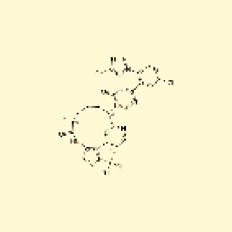 [2H]C([2H])([2H])n1ncc2c1-c1ccnc(c1)[C@@H](n1cnc(-c3cc(Cl)ccc3-n3cc(Cl)nn3)cc1=O)CCC[C@@H](C)C(=O)N2